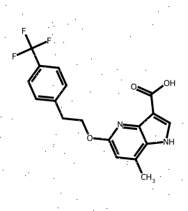 Cc1cc(OCCc2ccc(C(F)(F)F)cc2)nc2c(C(=O)O)c[nH]c12